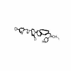 CN(Cc1ccc2c(c1)CCC(n1ccc(OCc3ccc(Cl)cn3)cc1=O)=C2)C1CCNCC1